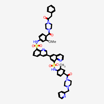 COc1cc(NS(=O)(=O)c2cccc3cc(-c4cc(S(=O)(=O)Nc5ccc(C(=O)N6CCN(Cc7ccccn7)CC6)cc5C)c5ncccc5c4)cnc23)ccc1C(=O)N1CCN(C(=O)Cc2ccccc2)CC1